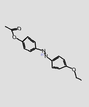 CCOc1ccc(/N=N/c2ccc(OC(C)=O)cc2)cc1